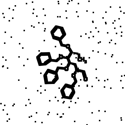 CC[C@@H](OCc1ccccc1)[C@H](OCc1ccccc1)[C@@H](CN(C=O)OCc1ccccc1)OCc1ccccc1